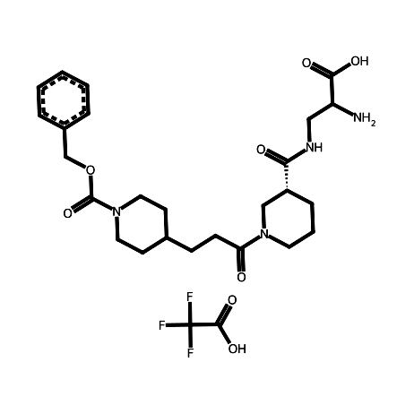 NC(CNC(=O)[C@@H]1CCCN(C(=O)CCC2CCN(C(=O)OCc3ccccc3)CC2)C1)C(=O)O.O=C(O)C(F)(F)F